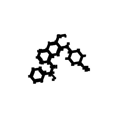 COc1cc2ncnc(N[C@H](C)c3ccccc3)c2cc1OC1CCC(N)CC1